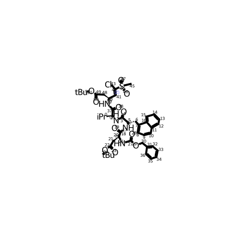 CC(C)[C@H](NC(=O)[C@H](Cc1cccc2ccccc12)NC(=O)[C@H](CC(=O)OC(C)(C)C)NC(=O)OCc1ccccc1)C(=O)N[C@H](/C=C(\Cl)S(C)(=O)=O)CC(=O)OC(C)(C)C